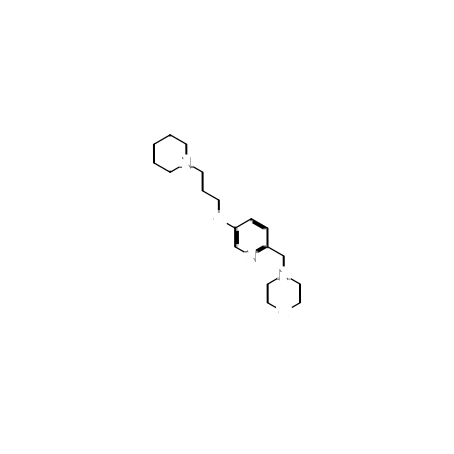 c1cc(CN2CCOCC2)ncc1OCCCN1CCCCC1